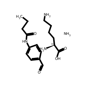 CCCC(=O)Nc1ccc(C=O)cc1.N.NCCCC[C@H](N)C(=O)O